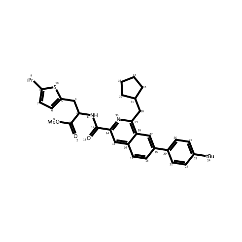 COC(=O)C(Cc1ccc(C(C)C)s1)NC(=O)c1cc2ccc(-c3ccc(C(C)(C)C)cc3)cc2c(CC2CCCC2)n1